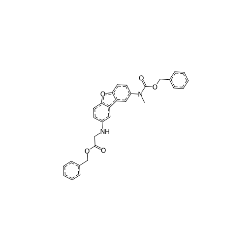 CN(C(=O)OCc1ccccc1)c1ccc2oc3ccc(NCC(=O)OCc4ccccc4)cc3c2c1